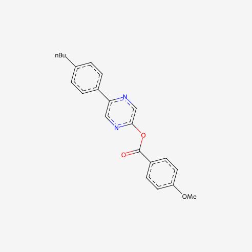 CCCCc1ccc(-c2cnc(OC(=O)c3ccc(OC)cc3)cn2)cc1